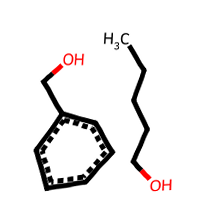 CCCCCO.OCc1ccccc1